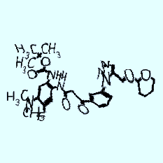 CN(C)c1cc(NC(=O)OC(C)(C)C)c(NC(=O)CC(=O)c2cccc(-n3nncc3COC3CCCCO3)c2)cc1F